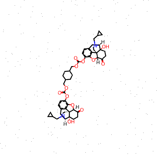 O=C(OCC1CCC(COC(=O)Oc2ccc3c4c2O[C@H]2C(=O)CC[C@@]5(O)[C@@H](C3)N(CC3CC3)CC[C@]425)CC1)Oc1ccc2c3c1O[C@H]1C(=O)CC[C@@]4(O)[C@@H](C2)N(CC2CC2)CC[C@]314